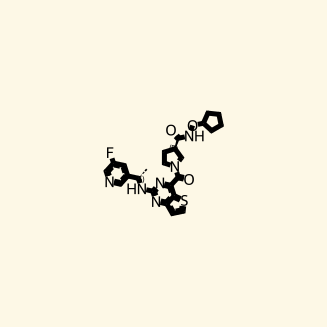 C[C@H](Nc1nc(C(=O)N2CC[C@@H](C(=O)NOC3CCCC3)C2)c2sccc2n1)c1cncc(F)c1